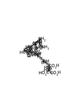 NC(=O)CN1CCN(CC(N)=O)CCN([C@H](CCC(=O)N[C@H](Cc2ccc(O)c(I)c2)C(=O)NC(Cc2ccccc2)C(=O)N[C@H](CCCCNC(=O)CCCCCCC(=O)NCCCC[C@H](NC(=O)N[C@@H](CCC(=O)O)C(=O)O)C(=O)O)C(=O)O)C(=O)O)CCN(CC(N)=O)CC1